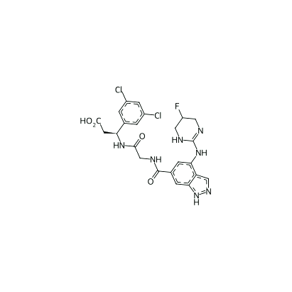 O=C(O)C[C@H](NC(=O)CNC(=O)c1cc(NC2=NCC(F)CN2)c2cn[nH]c2c1)c1cc(Cl)cc(Cl)c1